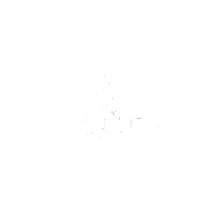 CCCCCCCOC(=O)C1([C@]2(CCCCCC)CC[C@H](C3CCCCC3)CC2)CCCCC1